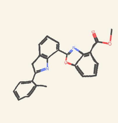 COC(=O)c1cccc2oc(-c3cccc4c3N=C(c3ccccc3C)C4)nc12